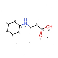 O=C(O)CCNC1CC[CH]CC1